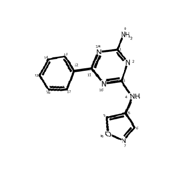 Nc1nc(Nc2cnoc2)nc(-c2ccccc2)n1